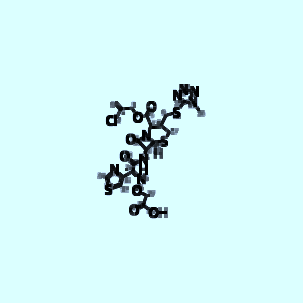 C=C(Cl)COC(=O)C1=C(CSc2nnnn2C)CS[C@H]2C(NC(=O)C(=NOCC(=O)O)c3cscn3)C(=O)N12